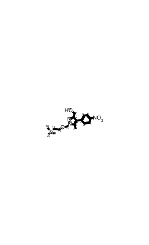 Cc1c(-c2ccc([N+](=O)[O-])cc2)c(CO)nn1COCC[Si](C)(C)C